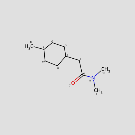 CC1CCC(CC(=O)N(C)C)CC1